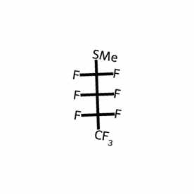 [CH2]SC(F)(F)C(F)(F)C(F)(F)C(F)(F)F